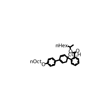 CCCCCCCCOc1ccc(C2=CCC(C(=O)O)(c3ccccc3C(=O)OC(C)CCCCCC)C=C2)cc1